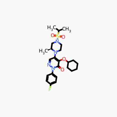 CC(C)S(=O)(=O)N1CCN(c2cnn(-c3ccc(F)cc3)c(=O)c2OC2CCCCC2)[C@@H](C)C1